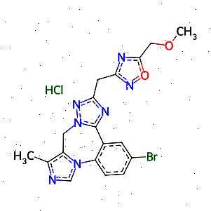 COCc1nc(Cc2nc3n(n2)Cc2c(C)ncn2-c2ccc(Br)cc2-3)no1.Cl